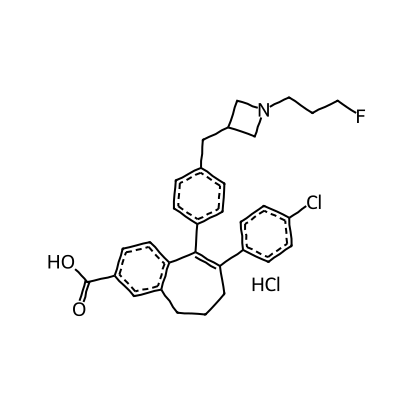 Cl.O=C(O)c1ccc2c(c1)CCCC(c1ccc(Cl)cc1)=C2c1ccc(CC2CN(CCCF)C2)cc1